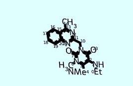 CCNc1c(NC)n(C)c(=O)n(Cc2nc(C)c3ccccc3n2)c1=O